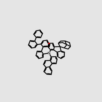 c1ccc(-c2ccccc2-c2ccccc2-c2ccccc2N(c2cccc3c2-c2ccccc2C32C3CC4CC(C3)CC2C4)c2cccc3c2ccc2ccccc23)cc1